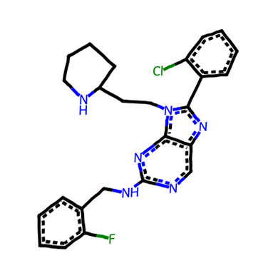 Fc1ccccc1CNc1ncc2nc(-c3ccccc3Cl)n(CCC3CCCCN3)c2n1